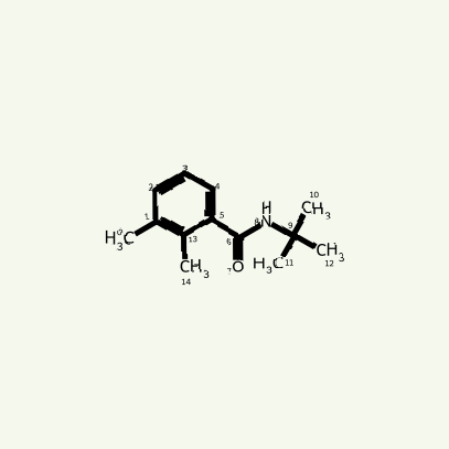 Cc1cccc(C(=O)NC(C)(C)C)c1C